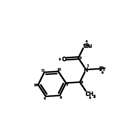 CC(C)N(C(=O)C(C)(C)C)C(C)c1ccccc1